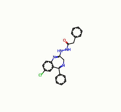 O=C(Cc1ccccc1)NNC1=Nc2ccc(Cl)cc2C(c2ccccc2)=NC1